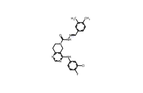 Cc1ccc(/C=N/NC(=O)N2CCc3ncnc(Nc4ccc(F)c(Cl)c4)c3C2)cc1C